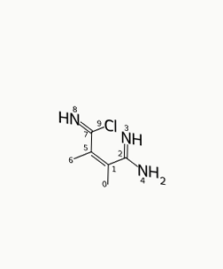 C/C(C(=N)N)=C(\C)C(=N)Cl